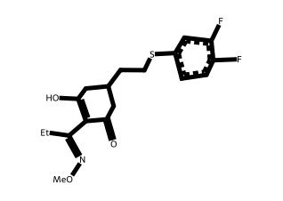 CCC(=NOC)C1=C(O)CC(CCSc2ccc(F)c(F)c2)CC1=O